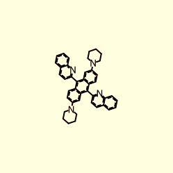 c1ccc2nc(-c3c4ccc(N5CCCCC5)cc4c(-c4ccc5ccccc5n4)c4ccc(N5CCCCC5)cc34)ccc2c1